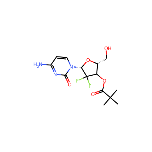 CC(C)(C)C(=O)OC1[C@@H](CO)O[C@@H](n2ccc(N)nc2=O)C1(F)F